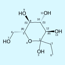 C[CH]C1(O)O[C@H](CO)[C@@H](O)[C@H](O)[C@H]1O